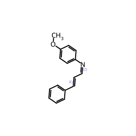 COc1ccc(/N=C\C=C\c2ccccc2)cc1